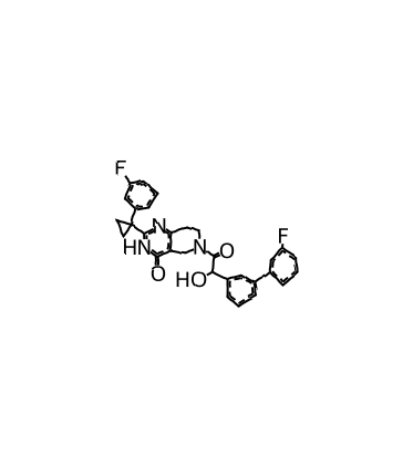 O=C(C(O)c1cccc(-c2cccc(F)c2)c1)N1CCc2nc(C3(c4cccc(F)c4)CC3)[nH]c(=O)c2C1